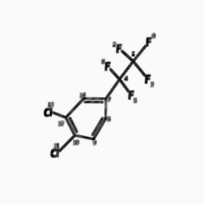 FC(F)(F)C(F)(F)c1ccc(Cl)c(Cl)c1